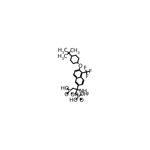 CC(C)(C)C1CCC(Oc2ccc3cc(C(N)(CP(=O)(O)O)CP(=O)(O)O)ccc3c2C(F)(F)F)CC1